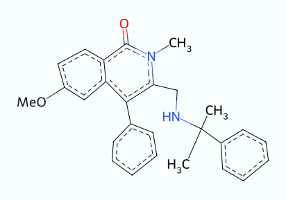 COc1ccc2c(=O)n(C)c(CNC(C)(C)c3ccccc3)c(-c3ccccc3)c2c1